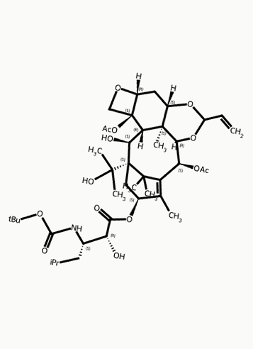 C=CC1O[C@H]2C[C@H]3OC[C@@]3(OC(C)=O)[C@H]3[C@H](O)[C@]4(C(C)(C)O)C[C@H](OC(=O)[C@H](O)[C@H](CC(C)C)NC(=O)OC(C)(C)C)C(C)=C([C@H](OC(C)=O)[C@H](O1)[C@]23C)C4(C)C